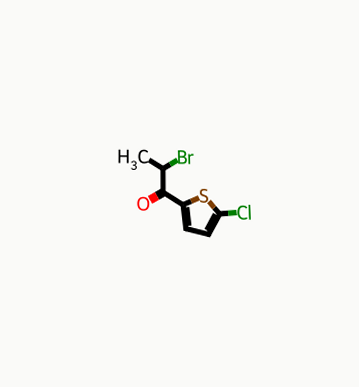 CC(Br)C(=O)c1ccc(Cl)s1